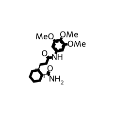 COc1cc(NC(=O)CC[C@@H]2CCCC[C@H]2C(N)=O)cc(OC)c1OC